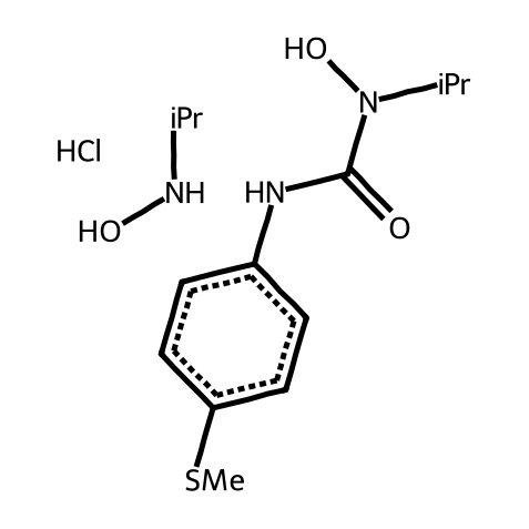 CC(C)NO.CSc1ccc(NC(=O)N(O)C(C)C)cc1.Cl